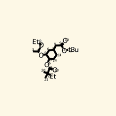 CCOC(C)OC1CC(CC(=O)OC(C)(C)C)CCC1OC(=O)C(C)(C)CC